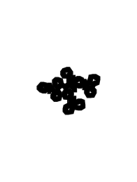 c1ccc(-n2c3ccccc3c3c(-c4c5ccc(-n6c7ccccc7c7ccccc76)cc5n5c6cc(-n7c8ccccc8c8ccccc87)ccc6n(-c6ccccc6)c45)cccc32)cc1